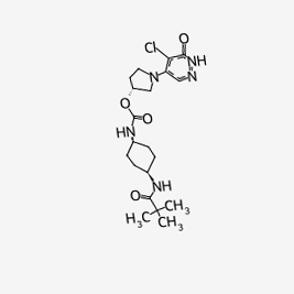 CC(C)(C)C(=O)N[C@H]1CC[C@@H](NC(=O)O[C@@H]2CCN(c3cn[nH]c(=O)c3Cl)C2)CC1